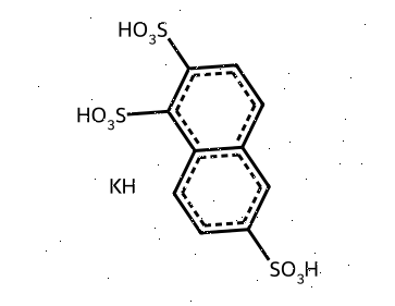 O=S(=O)(O)c1ccc2c(S(=O)(=O)O)c(S(=O)(=O)O)ccc2c1.[KH]